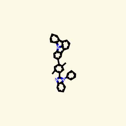 Cc1cc(-c2nc3ccccc3n2-c2ccccc2)c(C)cc1-c1ccc2c(c1)c1cccc3c4ccccc4n2c31